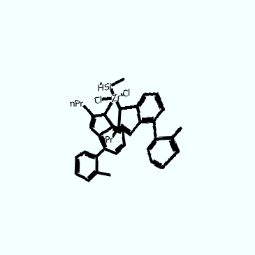 CCCC1=Cc2c(-c3ccccc3C)cccc2[CH]1[Zr]([Cl])([Cl])([CH]1C(CCC)=Cc2c(-c3ccccc3C)cccc21)[SiH](C)C